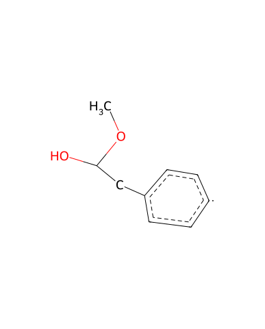 COC(O)Cc1cc[c]cc1